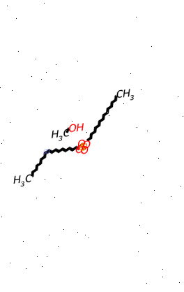 CCCCCCCC/C=C\CCCCCCCCOS(=O)(=O)OCCCCCCCCCCCCCCCC.CCO